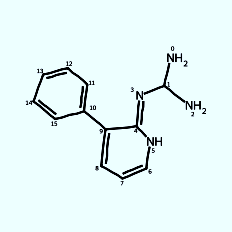 NC(N)/N=c1\[nH]cccc1-c1ccccc1